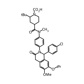 COc1cc2c(cc1OC(C)C)C(c1ccc(Cl)cc1)N(c1ccc(N(C)C(=O)C3CCN(C(=O)O)C(C(C)(C)C)C3)cc1)C(=O)C2